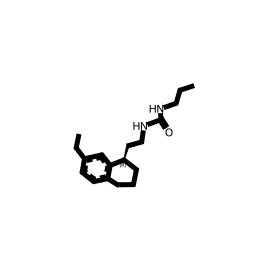 CCCNC(=O)NCC[C@H]1CCCc2ccc(CC)cc21